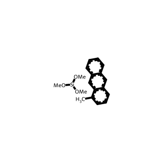 CO[Si](OC)OC.Cc1cccc2cc3ccccc3cc12